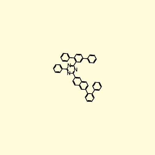 c1ccc(-c2ccc(-c3ccccc3)c(-c3nc(-c4ccccc4)nc(-c4ccc5cc(-c6ccccc6-c6ccccc6)ccc5c4)n3)c2)cc1